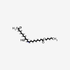 CCCCCOC(=O)CCCCCCC/C=C\C[C@H](O)CCCCCCC(C)=O